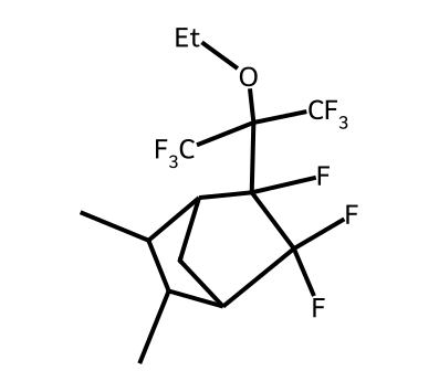 CCOC(C(F)(F)F)(C(F)(F)F)C1(F)C2CC(C(C)C2C)C1(F)F